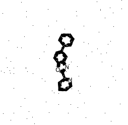 c1ccc(-c2ccc3oc(-c4ccccn4)nc3c2)cc1